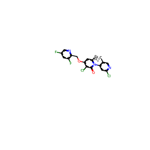 Cc1cnc(Cl)cc1-n1c(C)cc(OCc2ncc(F)cc2F)c(Cl)c1=O